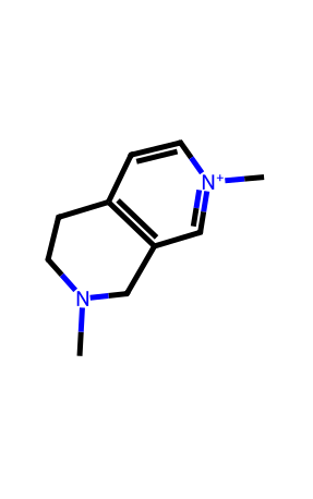 CN1CCc2cc[n+](C)cc2C1